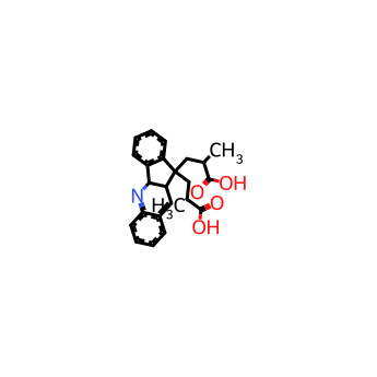 CC(CC1(CC(C)C(=O)O)c2ccccc2C2N=c3ccccc3=CC21)C(=O)O